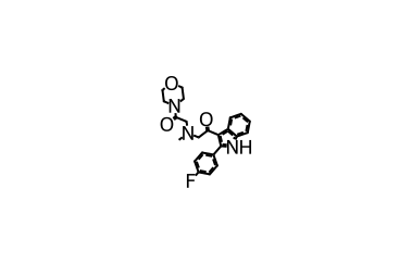 CN(CC(=O)c1c(-c2ccc(F)cc2)[nH]c2ccccc12)CC(=O)N1CCOCC1